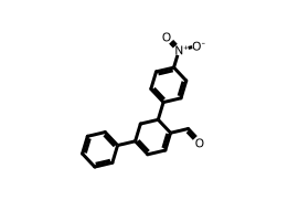 O=CC1=CC=C(c2ccccc2)CC1c1ccc([N+](=O)[O-])cc1